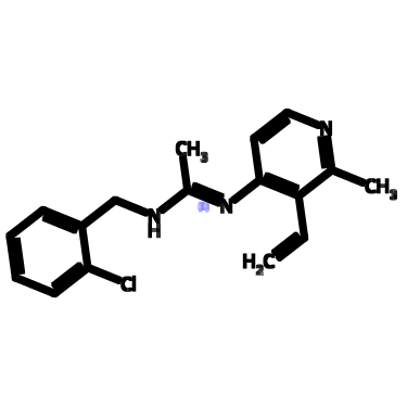 C=Cc1c(/N=C(\C)NCc2ccccc2Cl)ccnc1C